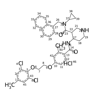 Cc1cc(Cl)c(OCCOc2ccc(C(=O)NC3CCNCC3C(=O)N(Cc3cccc4ccccc34)C3CC3)c(C)c2)c(Cl)c1.Cl